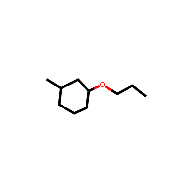 CCCOC1CCCC(C)C1